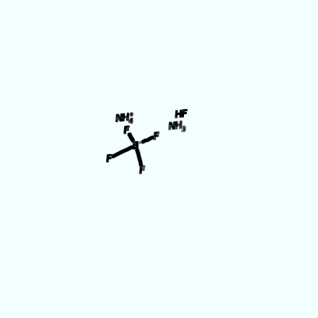 F.F[B-](F)(F)F.N.[NH4+]